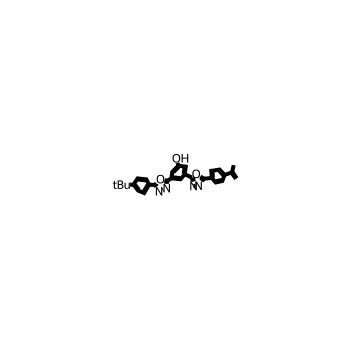 C=C(C)c1ccc(-c2nnc(-c3cc(O)cc(-c4nnc(-c5ccc(C(C)(C)C)cc5)o4)c3)o2)cc1